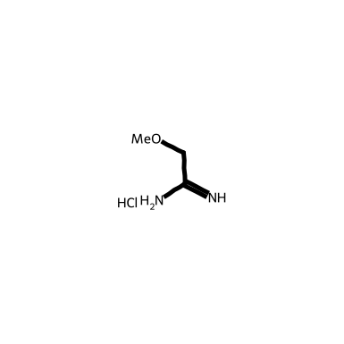 COCC(=N)N.Cl